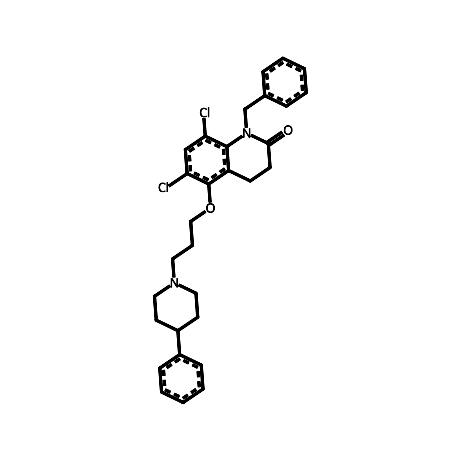 O=C1CCc2c(OCCCN3CCC(c4ccccc4)CC3)c(Cl)cc(Cl)c2N1Cc1ccccc1